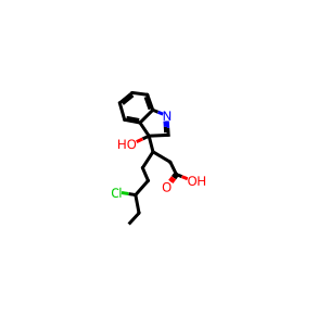 CCC(Cl)CCC(CC(=O)O)C1(O)C=Nc2ccccc21